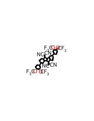 N#CC(C#N)=C1C2=C(C(=C(C#N)C#N)c3ccc(-c4ccc(OC(F)(F)F)c(OC(F)(F)F)c4)cc32)c2cc(-c3ccc(OC(F)(F)F)c(OC(F)(F)F)c3)ccc21